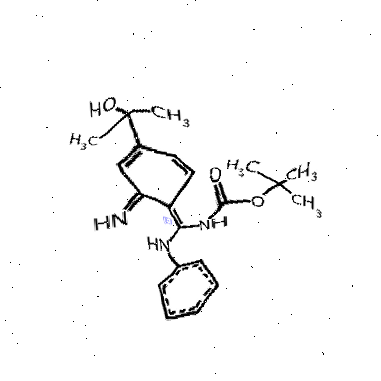 CC(C)(C)OC(=O)N/C(Nc1ccccc1)=C1\C=CC(C(C)(C)O)=CC1=N